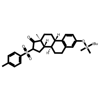 Cc1ccc(S(=O)(=O)C2C[C@H]3[C@@H]4CCc5cc(O[Si](C)(C)C(C)(C)C)ccc5[C@H]4CC[C@]3(C)C2=O)cc1